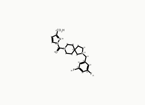 O=C(O)c1ccn(C(=O)N2CCC3(CCN(Cc4cc(F)cc(F)c4)C3)CC2)n1